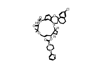 CC1(C)OC/C=C/[C@H](OC(=O)N2CCN(c3ccccn3)CC2)[C@@H]2CC[C@H]2CN2C[C@@]3(CCCc4cc(Cl)ccc43)COc3ccc(cc32)S(=O)(=O)NC1=O